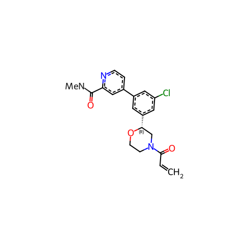 C=CC(=O)N1CCO[C@H](c2cc(Cl)cc(-c3ccnc(C(=O)NC)c3)c2)C1